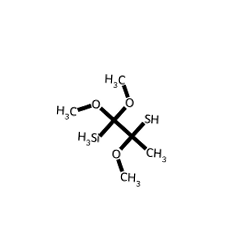 COC(C)(S)C([SiH3])(OC)OC